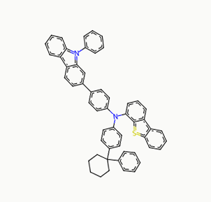 c1ccc(-n2c3ccccc3c3ccc(-c4ccc(N(c5ccc(C6(c7ccccc7)CCCCC6)cc5)c5cccc6c5sc5ccccc56)cc4)cc32)cc1